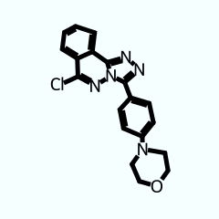 Clc1nn2c(-c3ccc(N4CCOCC4)cc3)nnc2c2ccccc12